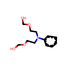 OCOCCN(CCOCO)c1ccccc1